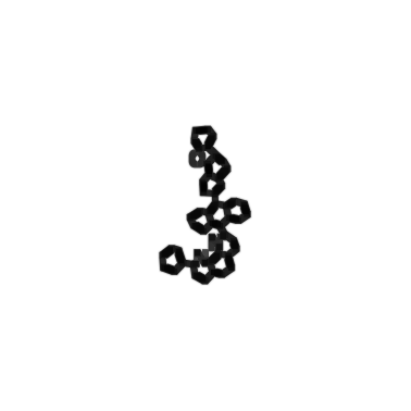 c1ccc(-c2ccc3ccc4ccc(-c5c6ccccc6c(-c6ccc7c(ccc8c9ccccc9oc78)c6)c6ccccc56)nc4c3n2)cc1